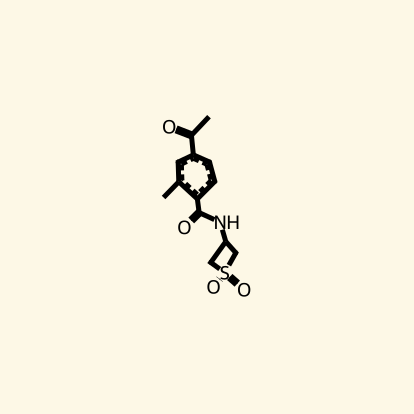 CC(=O)c1ccc(C(=O)NC2CS(=O)(=O)C2)c(C)c1